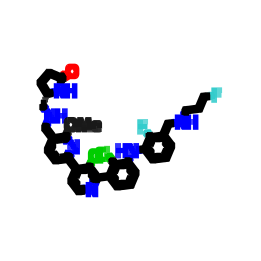 COc1nc(-c2ccnc(-c3cccc(Nc4cccc(CNCCCF)c4F)c3Cl)c2Cl)ccc1CNC[C@@H]1CCC(=O)N1